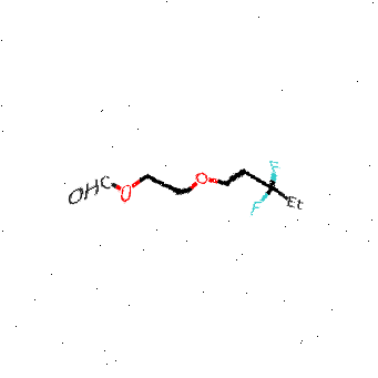 CCC(F)(F)CCOCCOC=O